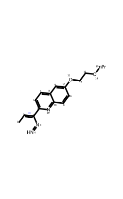 C/C=C(\N=N)c1ccc2cc(OCCOCCC)ccc2n1